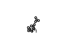 CC1(C)c2ccccc2-c2cccc(C3C=CC=C(c4cccc(N5c6ccc(-c7ccc8c(c7)c7ccccc7n8-c7ccccc7)cc6C6C=CC=CC65)c4)N3)c21